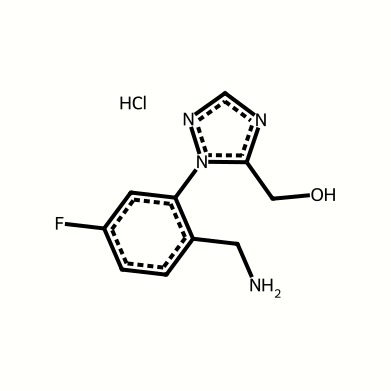 Cl.NCc1ccc(F)cc1-n1ncnc1CO